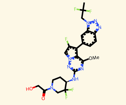 COc1nc(N[C@@H]2CCN(C(=O)CO)CC2(F)F)nn2cc(F)c(-c3ccc4nnn(CC(C)(F)F)c4c3)c12